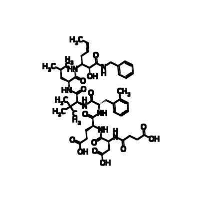 C/C=C\CC(NC(=O)[C@H](CC(C)C)NC(=O)[C@@H](NC(=O)[C@H](Cc1ccccc1C)NC(=O)[C@H](CCC(=O)O)NC(=O)[C@H](CC(=O)O)NC(=O)CCC(=O)O)C(C)(C)C)C(O)C(=O)NCc1ccccc1